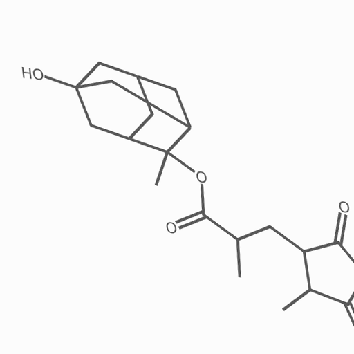 CC(CC1C(=O)OC(=O)C1C)C(=O)OC1(C)C2CC3CC1CC(O)(C3)C2